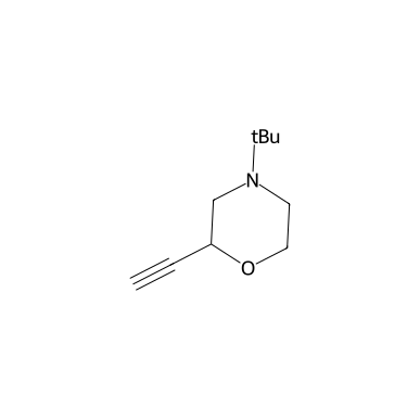 C#CC1CN(C(C)(C)C)CCO1